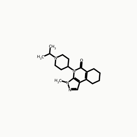 CC(C)N1CCC(n2c(=O)c3c(c4cnn(C)c42)CCCC3)CC1